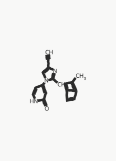 C#Cc1cn(-c2cc[nH]c(=O)c2)c(C)n1.Cc1cc2ccc1-2